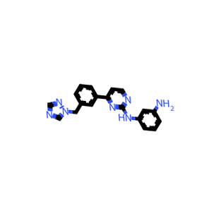 Nc1cccc(Nc2nccc(-c3cccc(Cn4cncn4)c3)n2)c1